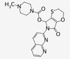 CN1CCN(C(=O)OC2C3=C(OCCS3)C(=O)N2c2ccc3cccnc3n2)CC1